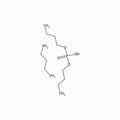 CCCCOP(=O)(O)OCCCC.CCCCP